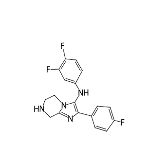 Fc1ccc(-c2nc3n(c2Nc2ccc(F)c(F)c2)CCNC3)cc1